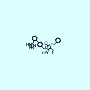 CCCc1c(CF)n(CCc2ccccc2)c(=O)n1Cc1ccc(-c2ccccc2-c2nnn[nH]2)cc1